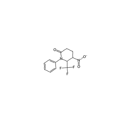 O=C1CCC([N+](=O)[O-])C(C(F)(F)F)N1c1ccccc1